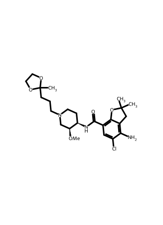 CO[C@H]1CN(CCCC2(C)OCCO2)CC[C@H]1NC(=O)c1cc(Cl)c(N)c2c1OC(C)(C)C2